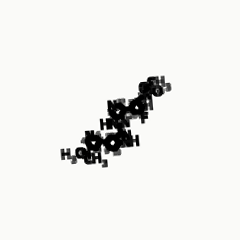 CN(C)c1cncc(-c2ccc3[nH]nc(-c4nc5c(-c6cc(F)cc(CNS(C)(=O)=O)c6)cncc5[nH]4)c3c2)c1